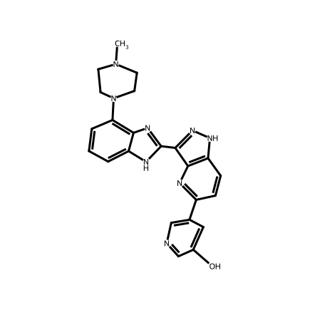 CN1CCN(c2cccc3[nH]c(-c4n[nH]c5ccc(-c6cncc(O)c6)nc45)nc23)CC1